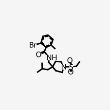 CCS(=O)(=O)N1CCC(CNC(=O)c2c(C)cccc2Br)(CC(C)C)CC1